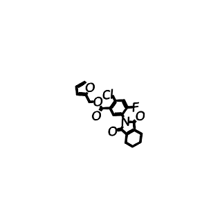 O=C(OCc1ccco1)c1cc(N2C(=O)C3=C(CCCC3)C2=O)c(F)cc1Cl